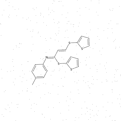 Cc1ccc(N=C(C=CSc2cccs2)Sc2cccs2)cc1